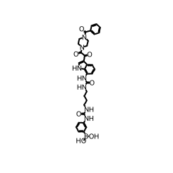 O=C(NCCCCNC(=O)Nc1cccc2c(C(=O)C(=O)N3CCN(C(=O)c4ccccc4)CC3)c[nH]c12)Nc1cccc(B(O)O)c1